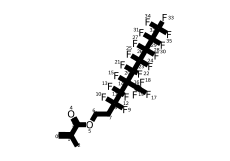 C=C(C)C(=O)OCCC(F)(F)C(F)(F)C(F)(C(F)(F)F)C(F)(F)C(F)(F)C(F)(F)C(F)(F)C(F)(F)F